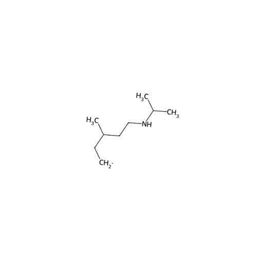 [CH2]CC(C)CCNC(C)C